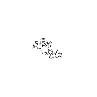 CC1C[C@H](N(C)C)C(O)[C@@H](OP(=O)(O)OP(=O)(O)OC[C@H]2O[C@@H](n3ccc(=O)[nH]c3=O)C(O)[C@H]2O)O1